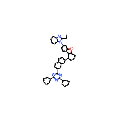 CCc1nc2ccccc2n1-c1ccc2c(c1)oc1cccc(-c3ccc4ccc(-c5nc(-c6ccccc6)nc(-c6ccccc6)n5)cc4c3)c12